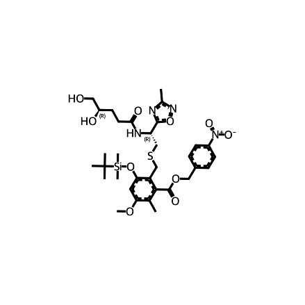 COc1cc(O[Si](C)(C)C(C)(C)C)c(CSC[C@H](NC(=O)CC[C@@H](O)CO)c2nc(C)no2)c(C(=O)OCc2ccc([N+](=O)[O-])cc2)c1C